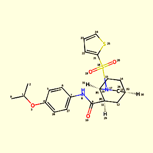 CC(C)Oc1ccc(NC(=O)[C@@H]2C[C@@H]3CC[C@H]2N(S(=O)(=O)c2cccs2)C3)cc1